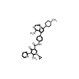 Cc1c(-c2ccccn2)c(=O)c(C(=O)Nc2ccc(-c3cc(C4CCN(C)CC4)n4ncnc(N)c34)cc2)cn1C1CC1